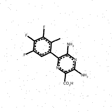 Cc1c(-c2nc(C(=O)O)c(N)nc2N)cc(F)c(F)c1F